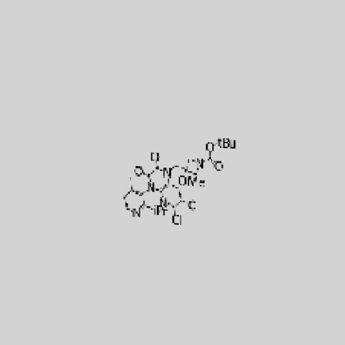 COC1(Cn2c(=O)c(=O)n(-c3c(C)ccnc3C(C)C)c3nc(Cl)c(Cl)cc32)CN(C(=O)OC(C)(C)C)C1